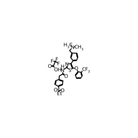 CCS(=O)(=O)c1ccc(CC(=O)Nc2nc(-c3cccc(CN(C)C)c3)c(Oc3ccccc3C(F)(F)F)s2)cc1.O=C(O)C(F)(F)F